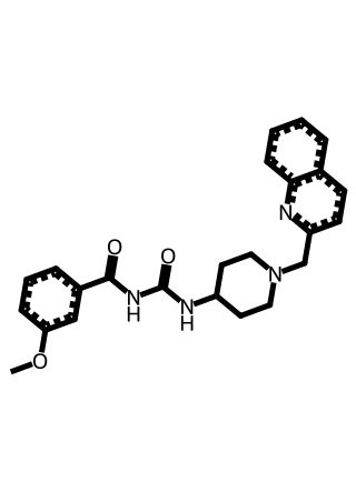 COc1cccc(C(=O)NC(=O)NC2CCN(Cc3ccc4ccccc4n3)CC2)c1